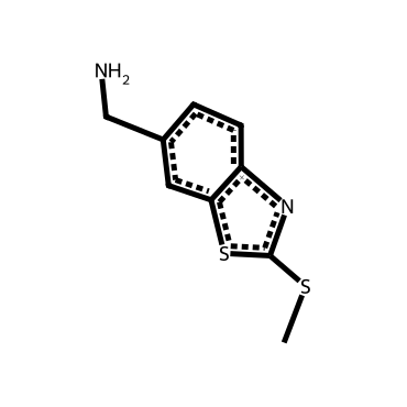 CSc1nc2ccc(CN)cc2s1